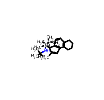 CC1=Cc2c(ccc3c2CCCC3)[CH]1[Ti]([CH3])([CH3])([NH]C(C)(C)C)[SiH](C)C